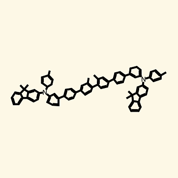 CC1=CCC(N(c2cccc(-c3ccc(-c4ccc(-c5ccc(-c6ccc(C7=CC(N(c8ccc(C)cc8)c8ccc9c(c8)C(C)(C)c8ccccc8-9)=CCC7)cc6)cc5C)c(C)c4)cc3)c2)c2ccc3c(c2)C(C)(C)c2ccccc2-3)C=C1